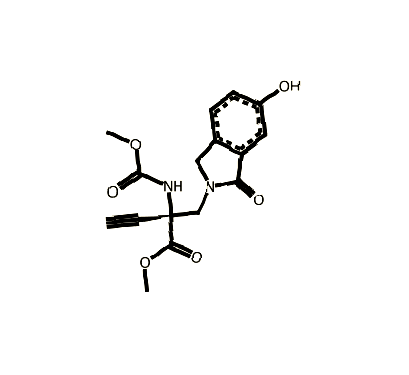 C#C[C@](CN1Cc2ccc(O)cc2C1=O)(NC(=O)OC)C(=O)OC